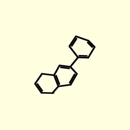 [CH]1C=CCc2cc(-c3ccccc3)ccc21